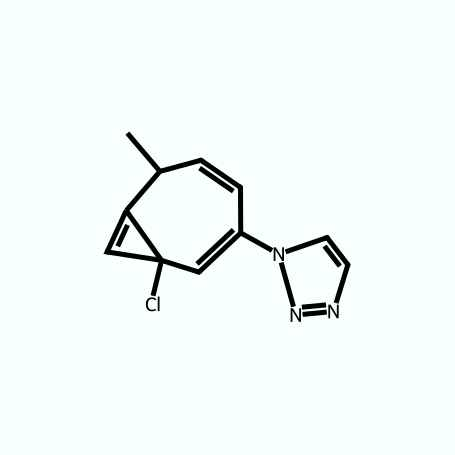 CC1C=CC(n2ccnn2)=CC2(Cl)C=C12